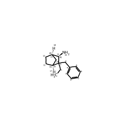 CCC1(Cc2ccccc2)[C@H]2CC[C@H](C2)[C@H]1N